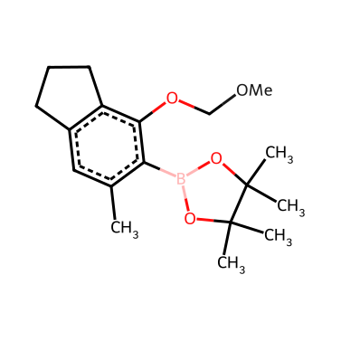 COCOc1c2c(cc(C)c1B1OC(C)(C)C(C)(C)O1)CCC2